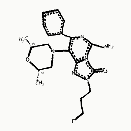 C[C@@H]1CN(c2c(-c3ccccc3)nc(N)n3c(=O)n(CCCF)nc23)C[C@H](C)O1